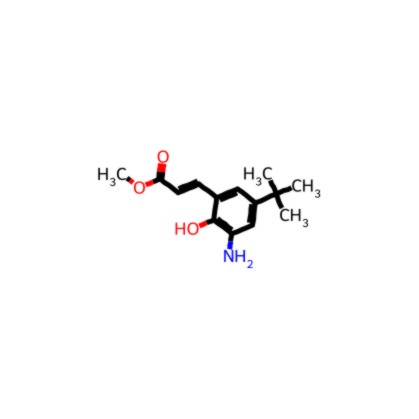 COC(=O)/C=C/c1cc(C(C)(C)C)cc(N)c1O